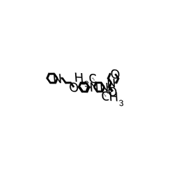 C[C@@H]1CN(c2ccc(OCCCN3CCCCC3)cc2)[C@H](C)CN1C(=O)N1CCOCC1